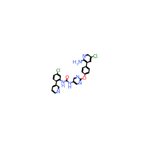 Nc1ncc(Cl)cc1-c1ccc(Oc2ncc(NC(=O)Nc3cc(Cl)ccc3-c3cccnc3)cn2)cc1